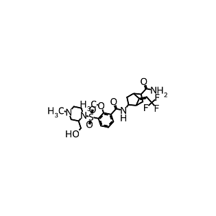 COc1c(C(=O)NC2CC3C(=CC(F)(F)F)C2CC3C(N)=O)cccc1S(=O)(=O)N1CCN(C)CC1CO